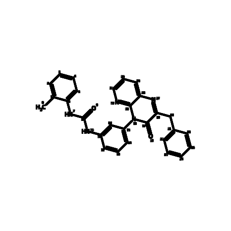 Cc1ccccc1NC(=O)Nc1cccc(-n2c(=O)c(Cc3ccccc3)nc3cccnc32)c1